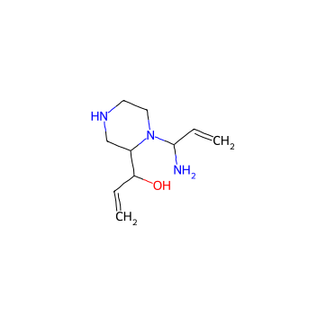 C=CC(O)C1CNCCN1C(N)C=C